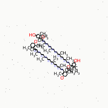 CC(/C=C/C=C(C)/C=C/C(=O)[C@]1(C)C[C@@H](O)CC1(C)C)=C\C=C\C=C(C)\C=C\C=C(C)\C=C\C(=O)[C@]1(C)C[C@@H](O)CC1(C)C.CC1=C(/C=C/C(C)=C/C=C/C(C)=C/C=C/C=C(C)/C=C/C=C(C)/C=C/C2=C(C)C(=O)CCC2(C)C)C(C)(C)CCC1=O